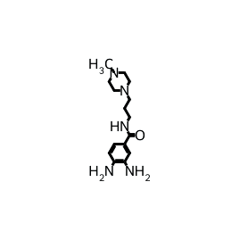 CN1CCN(CCCNC(=O)c2ccc(N)c(N)c2)CC1